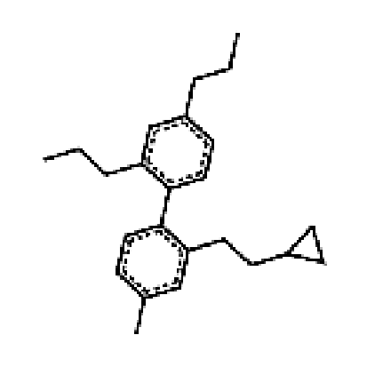 CCCc1ccc(-c2ccc(C)cc2CCC2CC2)c(CCC)c1